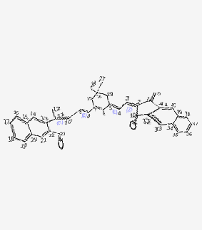 C=C1/C(=C/C=C2C=C(/C=C/C=C(\C)c3cc4ccccc4cc3C=O)CC(C)(C)C/2)C(=O)c2cc3ccccc3cc21